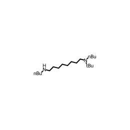 CCCCNCCCCCCCCN(CCCC)C(C)(C)C